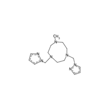 CN1CCN(Cn2cccn2)CCN(Cn2cccn2)CC1